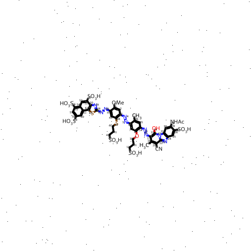 COc1cc(N=Nc2cc(OCCCS(=O)(=O)O)c(N=Nc3c(C)c(C#N)c4nc5cc(S(=O)(=O)O)c(NC(C)=O)cc5n4c3O)cc2C)c(SCCCS(=O)(=O)O)cc1N=Nc1nc2c(S(=O)(=O)O)cc3c(S(=O)(=O)O)cc(S(=O)(=O)O)cc3c2s1